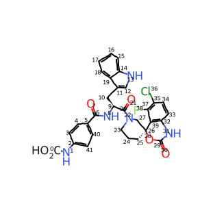 O=C(O)Nc1ccc(C(=O)N[C@@H](Cc2c[nH]c3ccccc23)C(=O)N2CCC[C@@]3(C2)OC(=O)Nc2ccc(Cl)c(F)c23)cc1